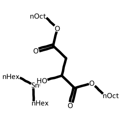 CCCCCCCCOC(=O)CC(O)C(=O)OCCCCCCCC.CCCCC[CH2][Sn][CH2]CCCCC